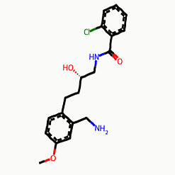 COc1ccc(CC[C@H](O)CNC(=O)c2ccccc2Cl)c(CN)c1